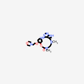 CN1CCCN(C)C(=O)COc2cc(ccc2OCCN2CCOCC2)Nc2ncnc3[nH]cc(c23)C1